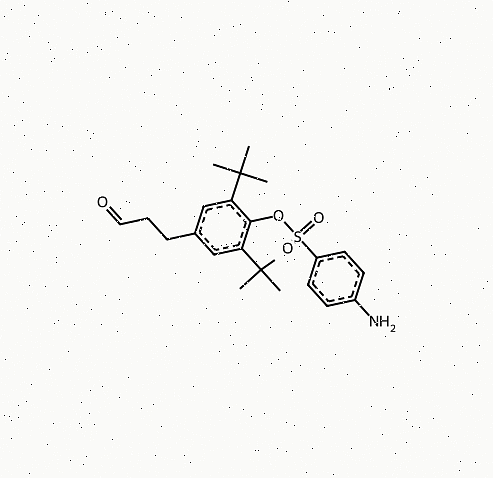 CC(C)(C)c1cc(CCC=O)cc(C(C)(C)C)c1OS(=O)(=O)c1ccc(N)cc1